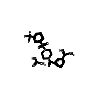 CC(=O)O.N=C(N)c1cccc(C(=O)N2CCN(S(=O)(=O)c3cccc(C(F)(F)F)c3)CC2)c1